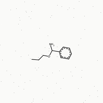 CCCOC(N)c1ccccc1